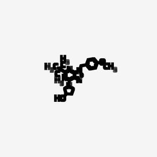 COc1ccc(Cn2cnc3c(N4CCC(O)C4)nc(C(C)(C)C)nc32)cc1